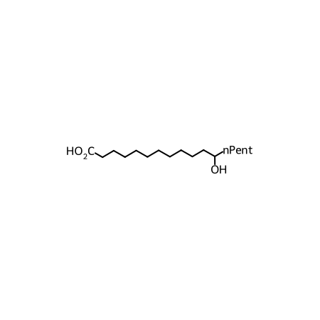 CCCCCC(O)CCCCCCCCCCC(=O)O